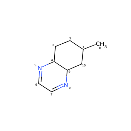 CC1CCC2N=CC=NC2C1